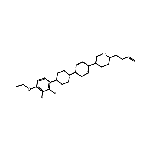 C=CCCC1CCC(C2CCC(C3CCC(c4ccc(OCC)c(F)c4F)CC3)CC2)CO1